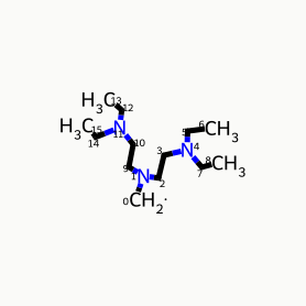 [CH2]N(CCN(CC)CC)CCN(CC)CC